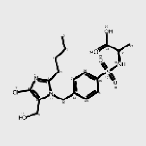 CCCCc1nc(Cl)c(CO)n1Cc1ccc(S(=O)(=O)NC(C)C(=O)O)cc1